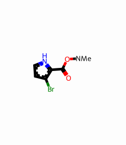 CNOC(=O)c1[nH]ccc1Br